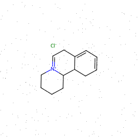 C1=CCC2C(=C1)CC=[N+]1CCCCC21.[Cl-]